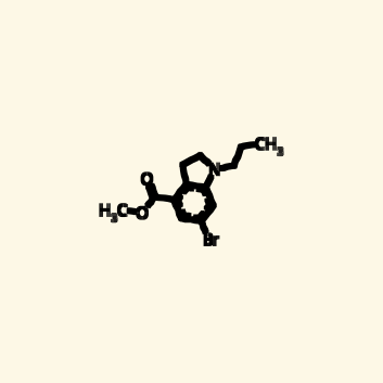 CCCN1CCc2c(C(=O)OC)cc(Br)cc21